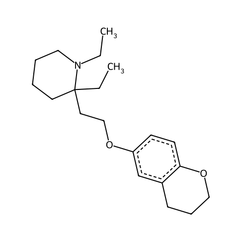 CCN1CCCCC1(CC)CCOc1ccc2c(c1)CCCO2